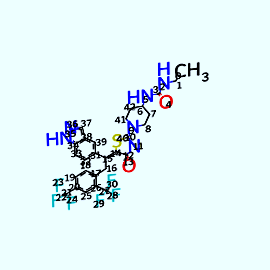 CCNC(=O)NC1CCN(C2=NC(=O)C(=C(Cc3ccc(C(F)(F)F)cc3C(F)(F)F)c3ccc4[nH]ncc4c3)S2)CC1